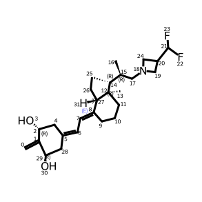 C=C1[C@H](O)CC(=C/C=C2\CCC[C@]3(C)[C@@H]([C@@H](C)CN4CC(C(F)F)C4)CC[C@@H]23)C[C@H]1O